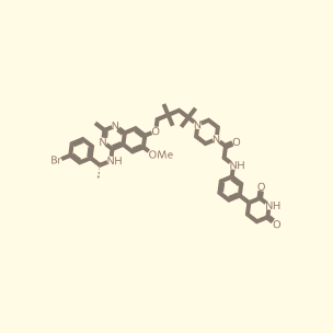 COc1cc2c(N[C@H](C)c3cccc(Br)c3)nc(C)nc2cc1OCC(C)(C)CC(C)(C)N1CCN(C(=O)CNc2cccc(C3CCC(=O)NC3=O)c2)CC1